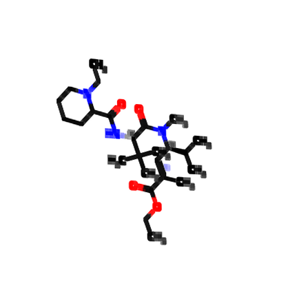 CCOC(=O)/C(C)=C/[C@H](C(C)C)N(C)C(=O)[C@@H](NC(=O)C1CCCCN1CC)C(C)(C)C